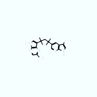 CC(C)c1cnc2[nH]cc(C(C)(C)CC(C)(C)c3cnc4[nH]cc(C(C)(C)C)c4c3)c2n1